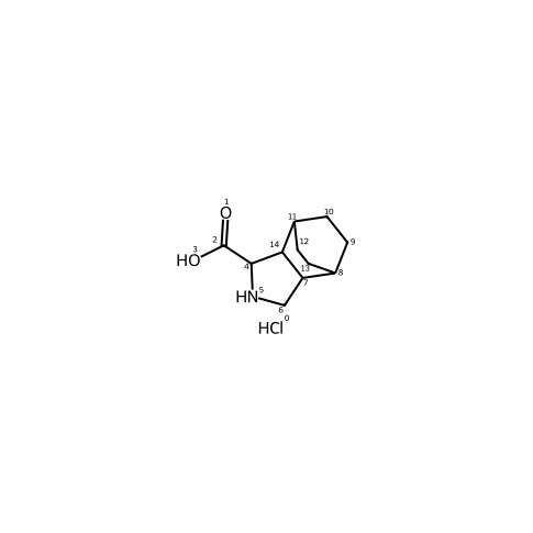 Cl.O=C(O)C1NCC2C3CCC(CC3)C12